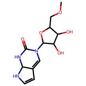 COCC1OC(N2C=C3C=CNC3NC2=O)C(O)C1O